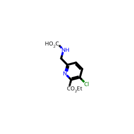 CCOC(=O)c1nc(CNC(=O)O)ccc1Cl